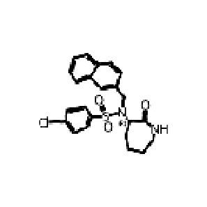 O=C1NCCCC[C@H]1N(Cc1ccc2ccccc2c1)S(=O)(=O)c1ccc(Cl)cc1